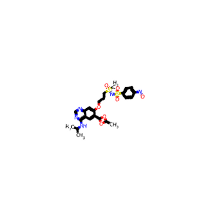 CC(C)Nc1ncnc2cc(OCCCS(C)(=O)=NS(=O)(=O)c3ccc(N=O)cc3)c(C3OC(C)O3)cc12